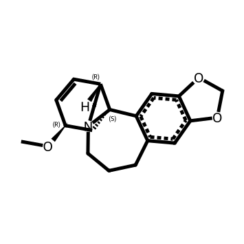 CO[C@H]1C=C[C@H]2CCN3CCCc4cc5c(cc4[C@]23C1)OCO5